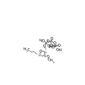 CCCC[C@H]1C[C@@H](OC)[C@@H](COP(=O)(O)OP(=O)(O)OP(=O)(O)O)O1